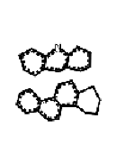 c1ccc2c(c1)ccc1c3c(ccc12)CCCC3.c1ccc2nc3ccccc3cc2c1